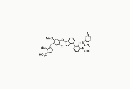 COc1cc(OC2CCc3c(-c4cccc(N(C=O)c5nc6c(n5C)CCN(C)C6)c4Cl)cccc32)c(Cl)cc1CN1CCC(C(=O)O)C1C(C)(C)C